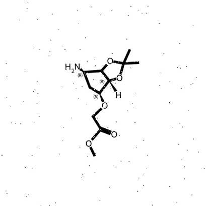 COC(=O)CO[C@H]1C[C@@H](N)C2OC(C)(C)O[C@@H]21